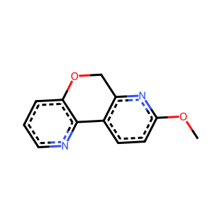 COc1ccc2c(n1)COc1cccnc1-2